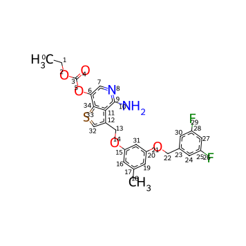 CCOC(=O)Oc1cnc(N)c2c(COc3cc(C)cc(OCc4cc(F)cc(F)c4)c3)csc12